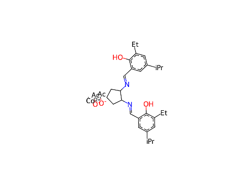 CC(=O)[O-].CC(=O)[O-].CCc1cc(C(C)C)cc(C=NC2CCCC2N=Cc2cc(C(C)C)cc(CC)c2O)c1O.[Co+2]